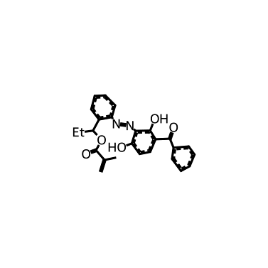 C=C(C)C(=O)OC(CC)c1ccccc1N=Nc1c(O)ccc(C(=O)c2ccccc2)c1O